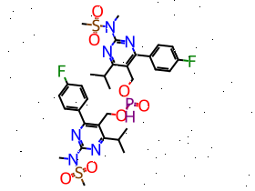 CC(C)c1nc(N(C)S(C)(=O)=O)nc(-c2ccc(F)cc2)c1CO[PH](=O)OCc1c(-c2ccc(F)cc2)nc(N(C)S(C)(=O)=O)nc1C(C)C